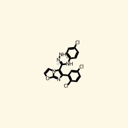 N/N=C(\Nc1ccc(Cl)cc1)c1c(-c2cc(Cl)ccc2Cl)nc2occn12